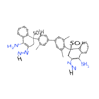 [H]/N=N/C1=C(N)c2ccccc2C(c2c(C)cc(-c3cc(C)c(C4(S(=O)(=O)O)CC(/N=N/[H])=C(N)c5ccccc54)c(C)c3)cc2C)(S(=O)(=O)O)C1